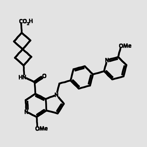 COc1cccc(-c2ccc(Cn3ccc4c(OC)ncc(C(=O)NC5CC6(C5)CC(C(=O)O)C6)c43)cc2)n1